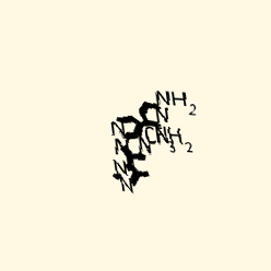 Cc1cncnc1-c1cnc2c(C3(C(F)(F)F)C=CC(N)=NC3N)ccnc2n1